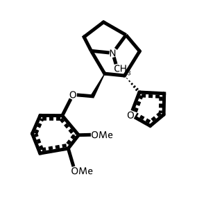 COc1cccc(OC[C@H]2C3CCC(C[C@@H]2c2ccco2)N3C)c1OC